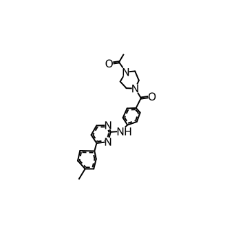 CC(=O)N1CCN(C(=O)c2ccc(Nc3nccc(-c4ccc(C)cc4)n3)cc2)CC1